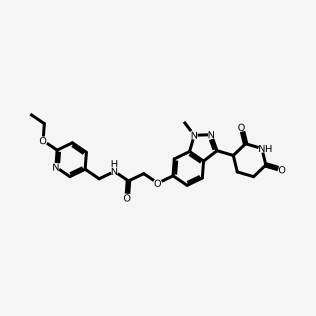 CCOc1ccc(CNC(=O)COc2ccc3c(C4CCC(=O)NC4=O)nn(C)c3c2)cn1